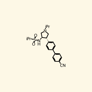 CC(C)N1C[C@H](NS(=O)(=O)C(C)C)[C@@H](c2ccc(-c3ccc(C#N)cc3)cc2)C1